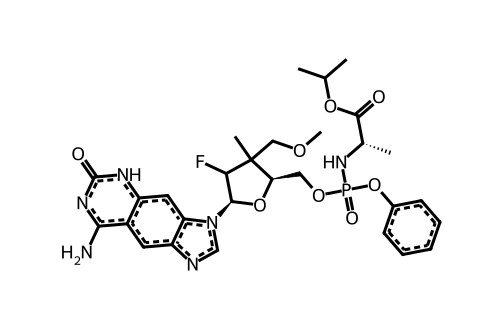 COCC1(C)C(F)[C@H](n2cnc3cc4c(N)nc(=O)[nH]c4cc32)O[C@@H]1COP(=O)(N[C@@H](C)C(=O)OC(C)C)Oc1ccccc1